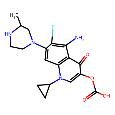 CC1CN(c2cc3c(c(N)c2F)c(=O)c(OC(=O)O)cn3C2CC2)CCN1